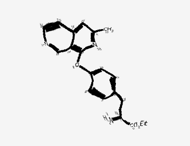 CCOC(=O)[C@@H](N)Cc1ccc(Oc2nc(C)cc3ccncc23)cc1